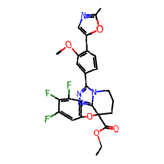 CCOC(=O)C1(Oc2cc(F)c(F)c(F)c2)CCCn2c(-c3ccc(-c4cnc(C)o4)c(OC)c3)nnc21